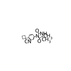 CC1(C)NC(=O)N(c2ccc(C3(C#N)CCC3)cc2)C1=O